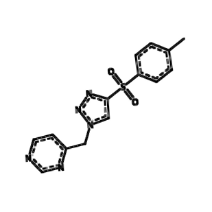 Cc1ccc(S(=O)(=O)c2cn(Cc3ccncn3)nn2)cc1